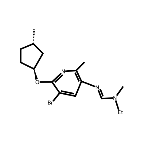 CCN(C)/C=N/c1cc(Br)c(O[C@H]2CC[C@H](C)C2)nc1C